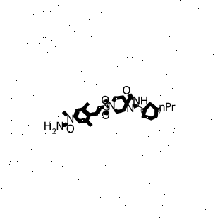 CCC[C@@H]1CCC[C@H](C2=NC3(CCN(S(=O)(=O)C=Cc4c(C)cc(N(C)C(N)=O)cc4C)CC3)C(=O)N2)C1